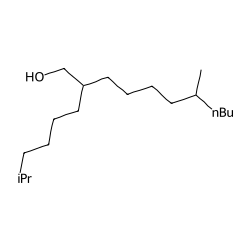 CCCCC(C)CCCCC(CO)CCCCC(C)C